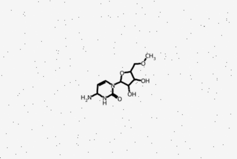 COCC1OC(N2C=CC(N)NC2=O)C(O)C1O